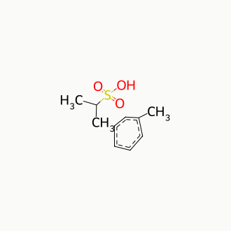 CC(C)S(=O)(=O)O.Cc1ccccc1